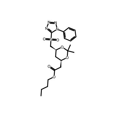 CCCCOC(=O)C[C@H]1C[C@@H](CS(=O)(=O)c2nnnn2-c2ccccc2)OC(C)(C)O1